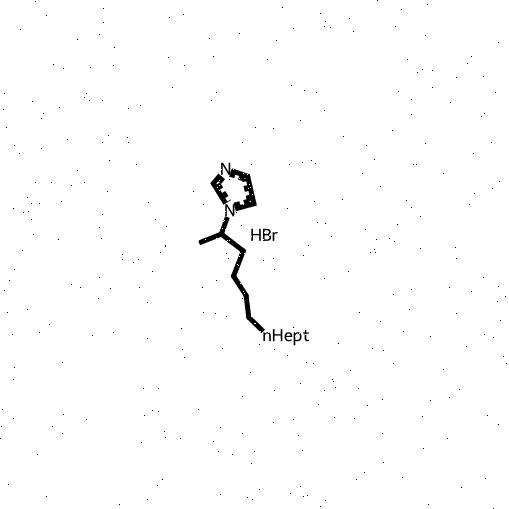 Br.CCCCCCCCCCCC(C)n1ccnc1